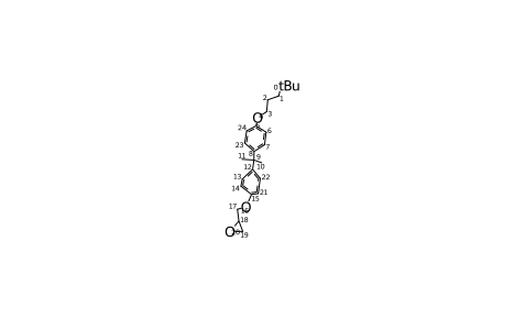 CC(C)(C)CCCOc1ccc(C(C)(C)c2ccc(OCC3CO3)cc2)cc1